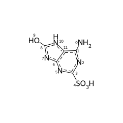 Nc1nc(S(=O)(=O)O)nc2nc(O)[nH]c12